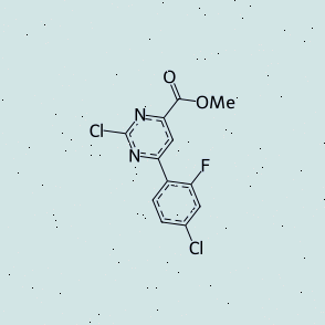 COC(=O)c1cc(-c2ccc(Cl)cc2F)nc(Cl)n1